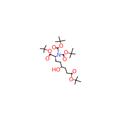 CC(C)(C)OC(=O)CCC(O)CC[C@@H](C(=O)OC(C)(C)C)N(C(=O)OC(C)(C)C)C(=O)OC(C)(C)C